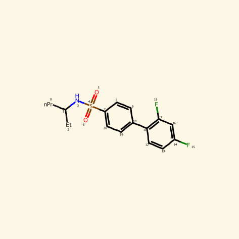 CCCC(CC)NS(=O)(=O)c1ccc(-c2ccc(F)cc2F)cc1